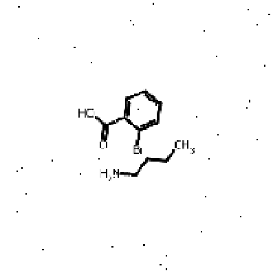 CCCCN.O=C(O)c1ccccc1Br